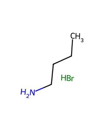 Br.CCCCN